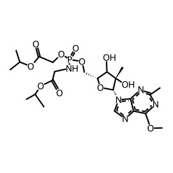 COc1nc(C)nc2c1ncn2[C@@H]1O[C@H](COP(=O)(NCC(=O)OC(C)C)OCC(=O)OC(C)C)C(O)[C@]1(C)O